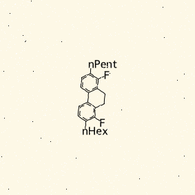 CCCCCCc1ccc2c(c1F)CCc1c-2ccc(CCCCC)c1F